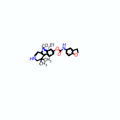 CCOC(=O)n1c2c(c3ccc(OC(=O)Nc4ccc5c(c4)CCO5)cc31)C(C)(C)CNC=C2